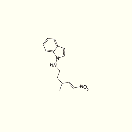 CC(C=C[N+](=O)[O-])CCNn1ccc2ccccc21